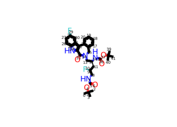 CC(C)(C)OC(=O)NC[C@@H](F)C[C@@H](CN1Cc2ccccc2-c2c([nH]c3ccc(F)cc23)C1=O)NC(=O)OC(C)(C)C